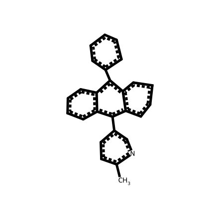 Cc1ccc(-c2c3ccccc3c(-c3ccccc3)c3ccccc23)cn1